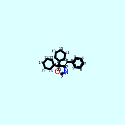 C1=N[C@H](Cc2ccccc2)C(C2CCCCC2)(C2CCCCC2)O1